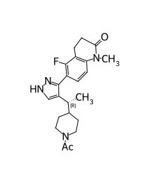 CC(=O)N1CCC([C@@H](C)c2c[nH]nc2-c2ccc3c(c2F)CCC(=O)N3C)CC1